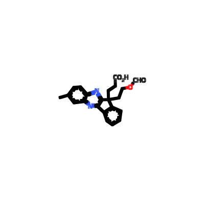 Cc1ccc2nc3c(nc2c1)-c1ccccc1C3(CCOC=O)CCC(=O)O